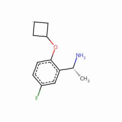 C[C@@H](N)c1cc(F)ccc1OC1C[CH]C1